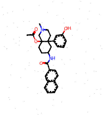 CC(=O)OC12CCC(NC(=O)c3ccc4ccccc4c3)CC1(c1cccc(O)c1)CCN(C)C2